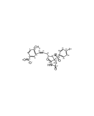 Cc1ccc([N+](=O)[O-])cc1C#CCCCC1(S(=O)(=O)c2ccc(I)cc2)SC(=O)NC1=O